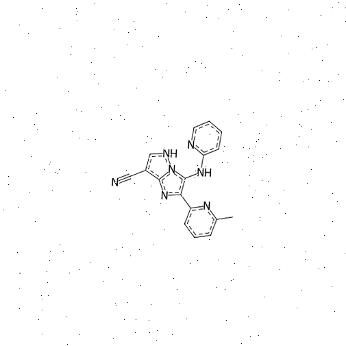 Cc1cccc(-c2nc3c(C#N)c[nH]n3c2Nc2ccccn2)n1